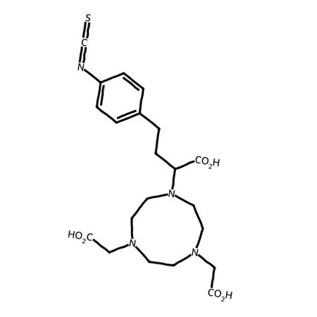 O=C(O)CN1CCN(CC(=O)O)CCN(C(CCc2ccc(N=C=S)cc2)C(=O)O)CC1